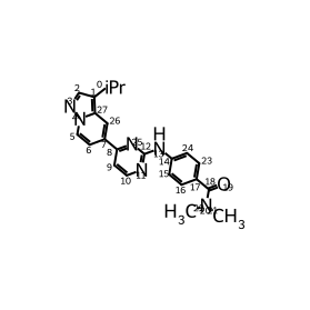 CC(C)c1cnn2ccc(-c3ccnc(Nc4ccc(C(=O)N(C)C)cc4)n3)cc12